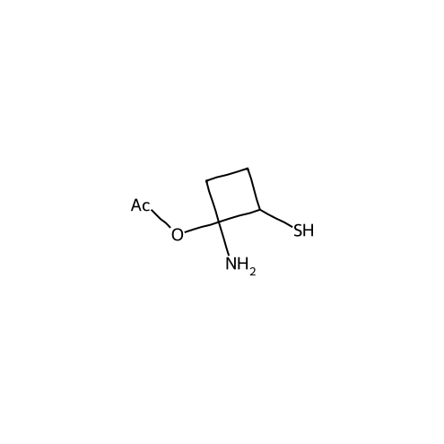 CC(=O)OC1(N)CCC1S